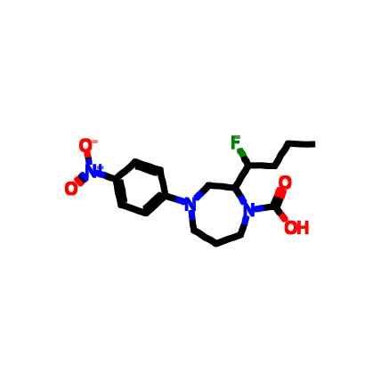 CCCC(F)C1CN(c2ccc([N+](=O)[O-])cc2)CCCN1C(=O)O